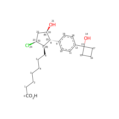 O=C(O)CCCCCC[C@@H]1[C@@H](c2ccc(C3(O)CCC3)cc2)[C@H](O)C[C@@H]1Cl